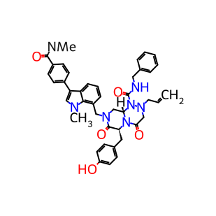 C=CCN1CC(=O)N2[C@@H](Cc3ccc(O)cc3)C(=O)N(Cc3cccc4c(-c5ccc(C(=O)NC)cc5)cn(C)c34)C[C@@H]2N1C(=O)NCc1ccccc1